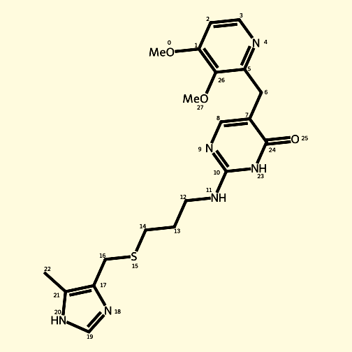 COc1ccnc(Cc2cnc(NCCCSCc3nc[nH]c3C)[nH]c2=O)c1OC